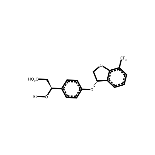 CCO[C@@H](CC(=O)O)c1ccc(O[C@@H]2COc3c2cccc3C(F)(F)F)cc1